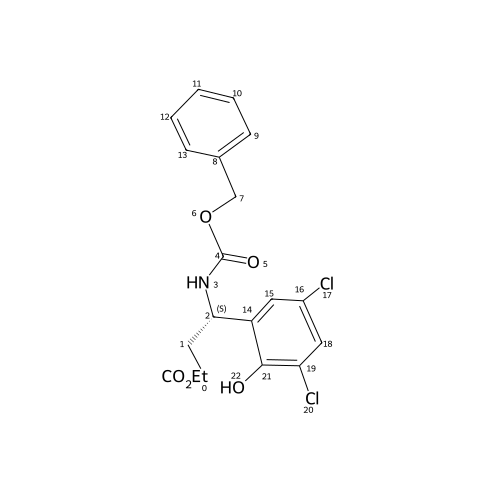 CCOC(=O)C[C@H](NC(=O)OCc1ccccc1)c1cc(Cl)cc(Cl)c1O